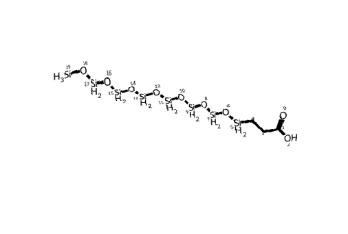 O=C(O)CC[SiH2]O[SiH2]O[SiH2]O[SiH2]O[SiH2]O[SiH2]O[SiH2]O[SiH3]